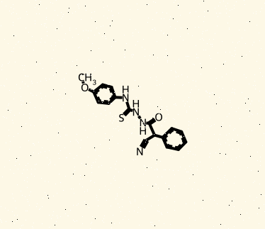 COc1ccc(NC(=S)NNC(=O)C(C#N)c2ccccc2)cc1